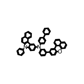 c1ccc(-c2ccc(N(c3cccc(-c4ccc5c(c4)-c4cccc6cccc(c46)O5)c3)c3ccc4c(c3)c3c5ccccc5ccc3n4-c3ccccc3)cc2)cc1